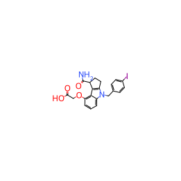 NC(=O)C1CCc2c1c1c(OCC(=O)O)cccc1n2Cc1ccc(I)cc1